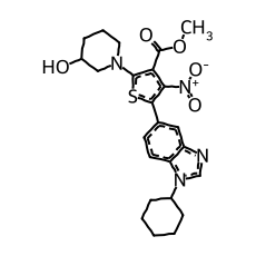 COC(=O)c1c(N2CCCC(O)C2)sc(-c2ccc3c(c2)ncn3C2CCCCC2)c1[N+](=O)[O-]